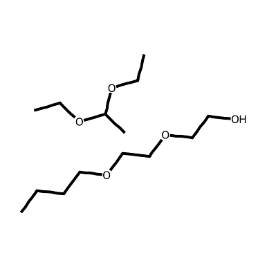 CCCCOCCOCCO.CCOC(C)OCC